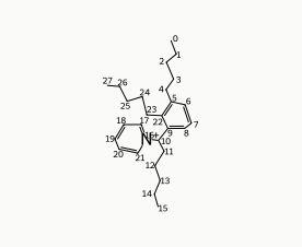 CCCCCc1cccc(C(CCCCC)[n+]2ccccc2)c1CCCCC